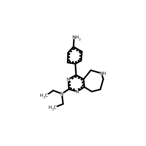 CCN(CC)c1nc2c(c(-c3ccc(N)cc3)n1)CNCCC2